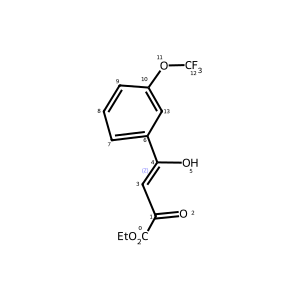 CCOC(=O)C(=O)/C=C(\O)c1cccc(OC(F)(F)F)c1